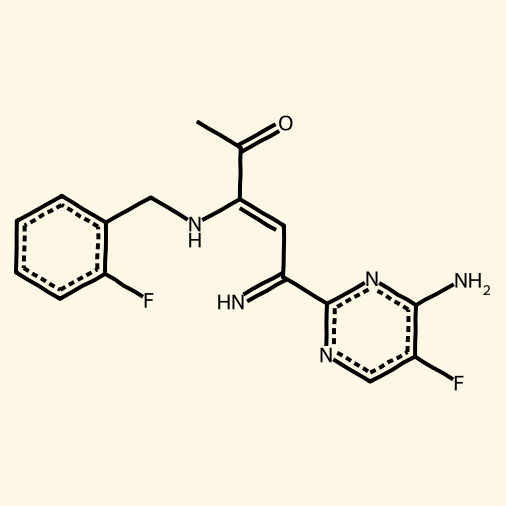 CC(=O)/C(=C/C(=N)c1ncc(F)c(N)n1)NCc1ccccc1F